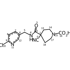 N#CC1(C(=O)NCc2ccc(Cl)nc2)CCN(C(=O)O)CC1